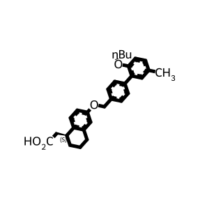 CCCCOc1ccc(C)cc1-c1ccc(COc2ccc3c(c2)CCC[C@H]3CC(=O)O)cc1